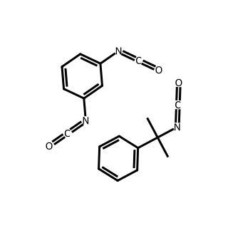 CC(C)(N=C=O)c1ccccc1.O=C=Nc1cccc(N=C=O)c1